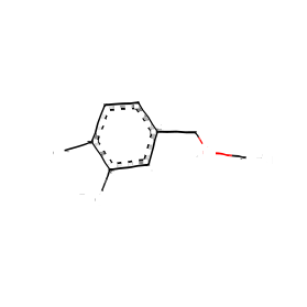 Cc1ccc(COC(C)(C)C)cc1C(F)(F)F